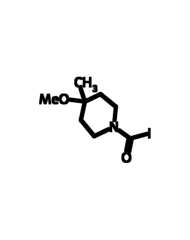 COC1(C)CCN(C(=O)I)CC1